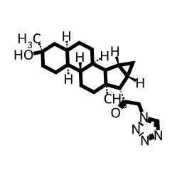 C[C@@]1(O)CC[C@H]2[C@H](CC[C@H]3C4[C@@H]5C[C@@H]5[C@H](C(=O)Cn5cnnn5)[C@@]4(C)CC[C@H]23)C1